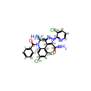 CC(C)C(N)N(C(=O)c1ccccc1)c1cc(Cl)cc(Cl)c1-c1c(Br)nn(-c2ncccc2Cl)c1C(N)=O